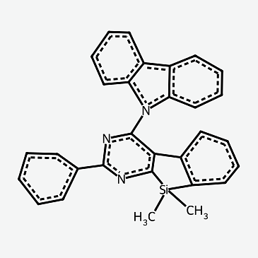 C[Si]1(C)c2ccccc2-c2c(-n3c4ccccc4c4ccccc43)nc(-c3ccccc3)nc21